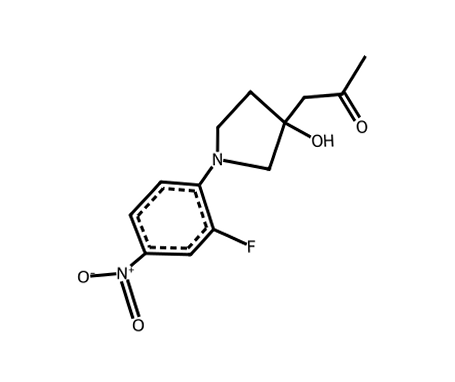 CC(=O)CC1(O)CCN(c2ccc([N+](=O)[O-])cc2F)C1